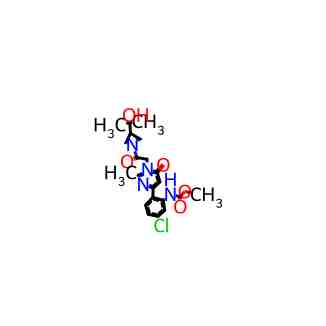 COC(=O)Nc1cc(Cl)ccc1-c1cc(=O)n(CC(=O)N2CC(C(C)(C)O)C2)c(C)n1